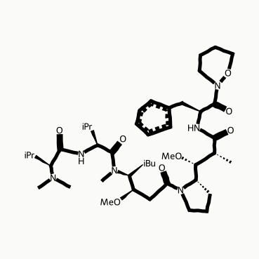 CC[C@H](C)[C@@H]([C@@H](CC(=O)N1CCC[C@H]1[C@H](OC)[C@@H](C)C(=O)N[C@@H](Cc1ccccc1)C(=O)N1CCCCO1)OC)N(C)C(=O)[C@@H](NC(=O)[C@H](C(C)C)N(C)C)C(C)C